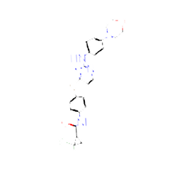 O=C(Nc1ccc(Sc2ccnc(Nc3ccc(N4CCOCC4)cc3)n2)cc1)C1CC1(F)Cl